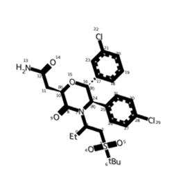 CCC(CS(=O)(=O)C(C)(C)C)N1C(=O)[C@@H](CC(N)=O)O[C@H](c2cccc(Cl)c2)[C@H]1c1ccc(Cl)cc1